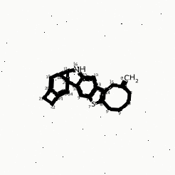 C=C1CCCCc2sc3cc4c(cc3c2C1)NC1C2C=C3CCC3=CC421